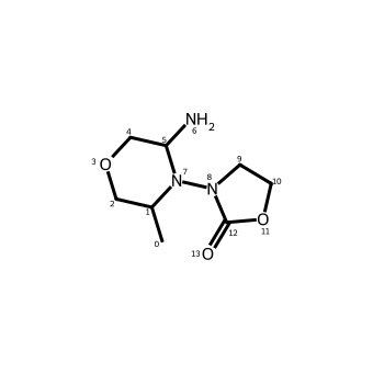 CC1COCC(N)N1N1CCOC1=O